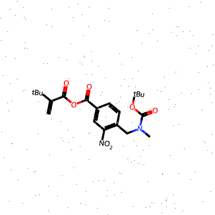 C=C(C(=O)OC(=O)c1ccc(CN(C)C(=O)OC(C)(C)C)c([N+](=O)[O-])c1)C(C)(C)C